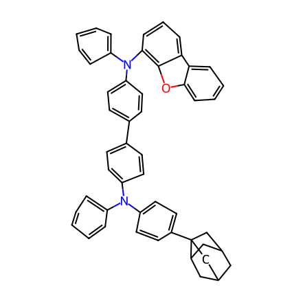 c1ccc(N(c2ccc(-c3ccc(N(c4ccccc4)c4cccc5c4oc4ccccc45)cc3)cc2)c2ccc(C34CC5CC(CC3C5)C4)cc2)cc1